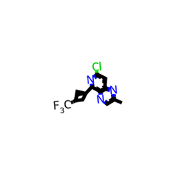 Cc1cnc2c(C34CC(C(F)(F)F)(C3)C4)nc(Cl)cc2n1